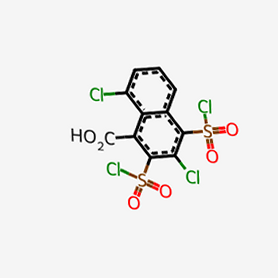 O=C(O)c1c(S(=O)(=O)Cl)c(Cl)c(S(=O)(=O)Cl)c2cccc(Cl)c12